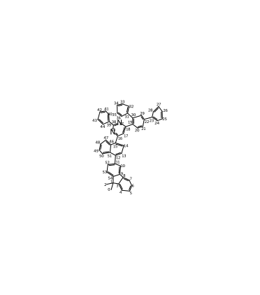 CC1(C)c2ccccc2-c2cc(-c3ccc(-c4cc(-c5ccc(-c6ccccc6)cc5-c5ccccc5)nc(-c5ccccc5)n4)c4ccccc34)ccc21